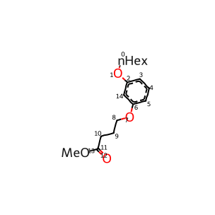 CCCCCCOc1cccc(OCCCC(=O)OC)c1